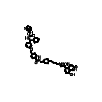 O=C(N[C@H](c1ccccc1)c1cccc(OCc2ccc(C(=O)NCC3CCC(CCCCNC[C@H](O)c4ccc(O)c5[nH]c(=O)ccc45)CC3)cc2)c1)O[C@H]1CN2CCC1CC2